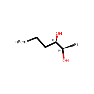 CCCCCCC[C@@H](O)[C@H](O)CC